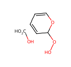 O=C(O)O.OOC1C=CC=CO1